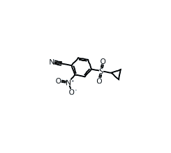 N#Cc1ccc(S(=O)(=O)C2CC2)cc1[N+](=O)[O-]